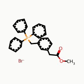 COC(=O)Cc1cccc(C[P+](c2ccccc2)(c2ccccc2)c2ccccc2)c1.[Br-]